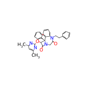 Cc1cc(C)nc(O[C@@H]2C(=O)N3CC(=O)N(CCc4ccccc4)c4ccccc4[C@@]23c2ccccc2)n1